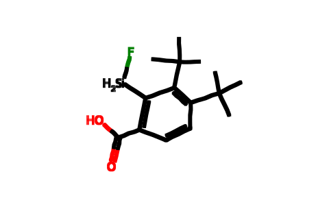 CC(C)(C)c1ccc(C(=O)O)c([SiH2]F)c1C(C)(C)C